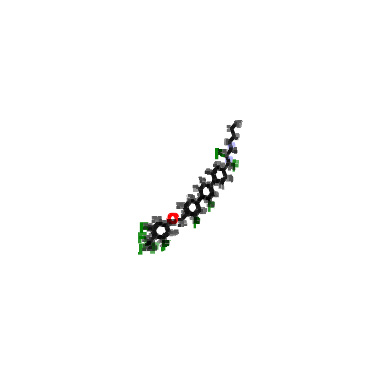 CCC/C=C/C(F)=C(\F)c1ccc(-c2ccc(-c3ccc(COc4cc(F)c(C(F)(F)F)c(F)c4)c(F)c3)c(F)c2)cc1